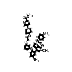 COC(=O)c1ncc(N2CCC(OCCOc3cccc(Oc4ccc(N)cc4-c4cn(C)c(=O)c5c4ccn5S(=O)(=O)c4ccc(C)cc4)c3)CC2)cn1